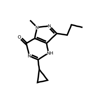 CCCc1nn(C)c2c(=O)nc(C3CC3)[nH]c12